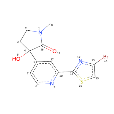 CN1CCC(O)(c2ccnc(-c3nc(Br)cs3)c2)C1=O